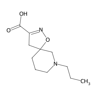 CCCN1CCCC2(CC(C(=O)O)=NO2)C1